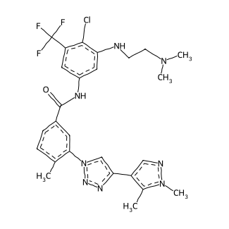 Cc1ccc(C(=O)Nc2cc(NCCN(C)C)c(Cl)c(C(F)(F)F)c2)cc1-n1cc(-c2cnn(C)c2C)nn1